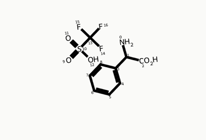 NC(C(=O)O)c1ccccc1.O=S(=O)(O)C(F)(F)F